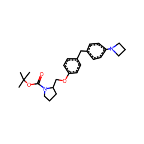 CC(C)(C)OC(=O)N1CCCC1COc1ccc(Cc2ccc(N3CCC3)cc2)cc1